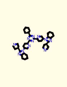 c1ccc(-c2nc(-c3ccc(-n4c(-c5ccncc5)nc5ccccc54)cn3)nc(-c3ccc(-n4c(-c5ccncc5)nc5ccccc54)cn3)n2)cc1